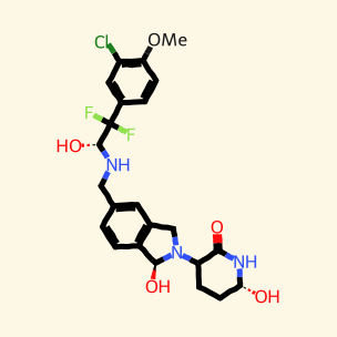 COc1ccc(C(F)(F)[C@@H](O)NCc2ccc3c(c2)CN(C2CC[C@@H](O)NC2=O)[C@H]3O)cc1Cl